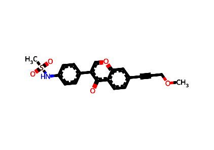 COCC#Cc1ccc2c(=O)c(-c3ccc(NS(C)(=O)=O)cc3)coc2c1